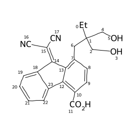 CCC(CO)(CO)Cc1ccc(C(=O)O)c2c1C(=C(C#N)C#N)c1ccccc1-2